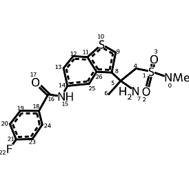 CNS(=O)(=O)CC(C)(N)c1csc2ccc(NC(=O)c3ccc(F)cc3)cc12